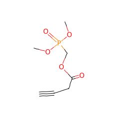 C#CCC(=O)OCP(=O)(OC)OC